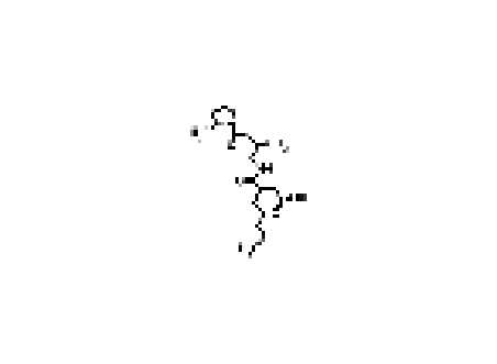 CCCCCC(CC(=O)O)C(=O)NCC(C)CC(=O)N1CCCC1C